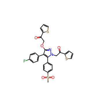 CS(=O)(=O)c1ccc(-c2c(-c3ccc(F)cc3)c(OCC(=O)c3cccs3)nn2CC(=O)c2cccs2)cc1